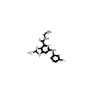 CC1Oc2cc(Nc3cccc(F)c3)nc(C(=O)NCC(C)(C)C)c2O1